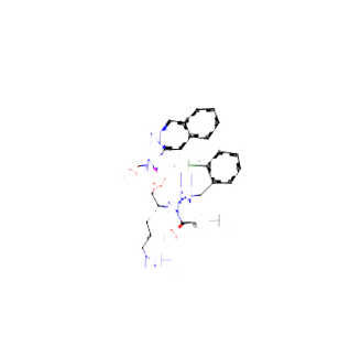 CC(=O)N(NCc1ccccc1Cl)[C@@H](CCCN)CON(C=O)c1cc2ccccc2cn1